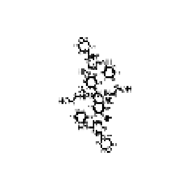 O=S(=O)(NCCO)c1cc(Nc2nc(Nc3ccccc3)nc(N3CCOCC3)n2)ccc1/C=C/c1ccc(Nc2nc(Nc3ccccc3)nc(N3CCOCC3)n2)cc1S(=O)(=O)NCCO